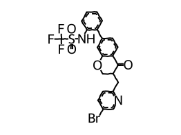 O=C1c2ccc(-c3ccccc3NS(=O)(=O)C(F)(F)F)cc2OCC1Cc1ccc(Br)cn1